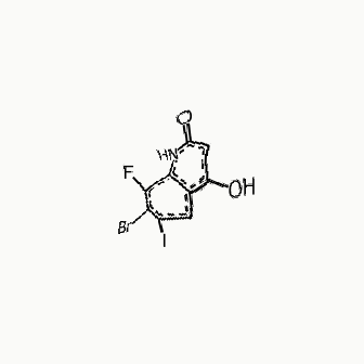 O=c1cc(O)c2cc(I)c(Br)c(F)c2[nH]1